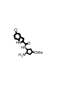 COC1CC(NC(=O)c2cc3cc(Cl)ccc3[nH]2)[C@H](N)C1